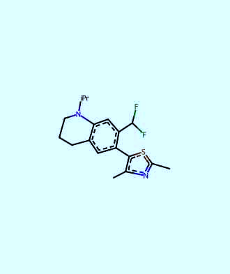 Cc1nc(C)c(-c2cc3c(cc2C(F)F)N(C(C)C)CCC3)s1